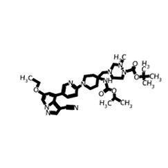 CCOc1cc(-c2ccc(N3CCC(CN4CCN(C(=O)OC(C)(C)C)N(C)C4)(NC(=O)OC(C)C)CC3)nc2)c2c(C#N)cnn2c1